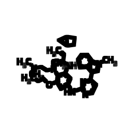 C1CC2CC12.C=CC(=O)Nc1cc(Nc2nccc(-c3cn(C)c4ccccc34)n2)cc(OCCC)c1N(C)CCN(C)C